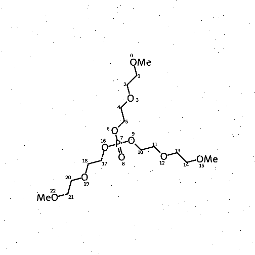 COCCOCCOP(=O)(OCCOCCOC)OCCOCCOC